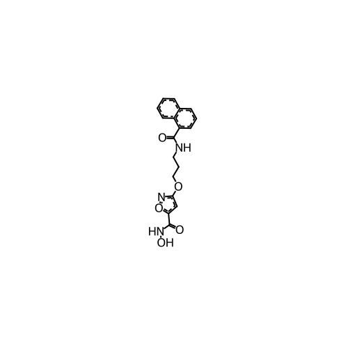 O=C(NO)c1cc(OCCCNC(=O)c2cccc3ccccc23)no1